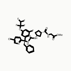 COC(=O)CNC(=O)[C@H]1CC[C@@H](NC(=O)N[C@@](Cc2ccccc2)(c2cc(F)cc(OC(F)(F)C(F)F)c2)c2ccc(Cl)cn2)C1